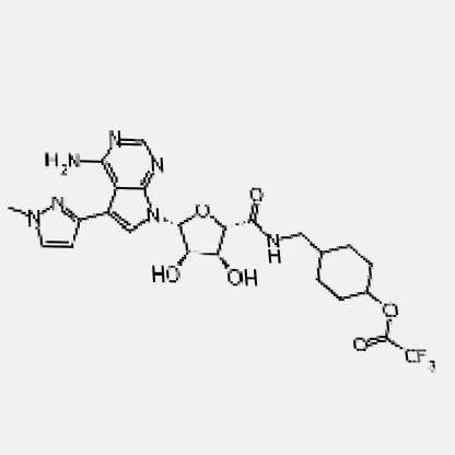 Cn1ccc(-c2cn([C@@H]3O[C@H](C(=O)NCC4CCC(OC(=O)C(F)(F)F)CC4)[C@@H](O)[C@H]3O)c3ncnc(N)c23)n1